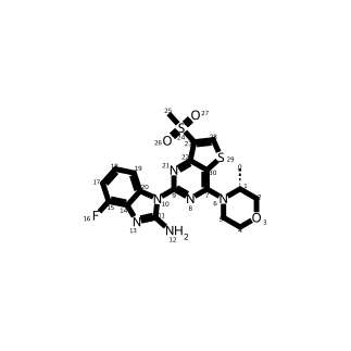 C[C@@H]1COCCN1c1nc(-n2c(N)nc3c(F)cccc32)nc2c(S(C)(=O)=O)csc12